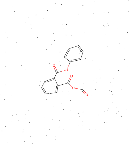 O=COC(=O)c1ccccc1C(=O)Oc1ccccc1